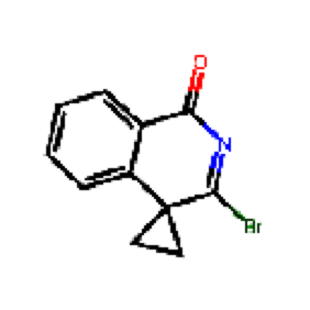 O=C1N=C(Br)C2(CC2)c2ccccc21